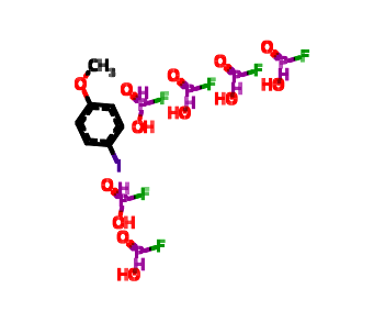 COc1ccc(I)cc1.O=[PH](O)F.O=[PH](O)F.O=[PH](O)F.O=[PH](O)F.O=[PH](O)F.O=[PH](O)F